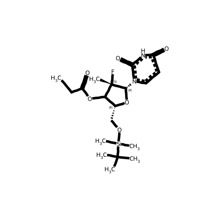 CCC(=O)OC1[C@@H](CO[Si](C)(C)C(C)(C)C)O[C@@H](n2ccc(=O)[nH]c2=O)[C@@]1(C)F